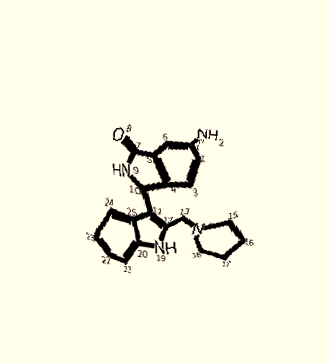 Nc1ccc2c(c1)C(=O)NC2c1c(CN2CCCC2)[nH]c2ccccc12